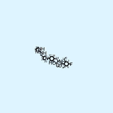 CCc1cc(F)cc(C)c1C(=O)NC(Cc1ccc(-n2ccc(CNc3ncc[nH]3)c2)cc1)C(=O)O